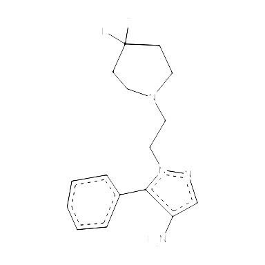 Nc1cnn(CCN2CCC(F)(F)CC2)c1-c1ccccc1